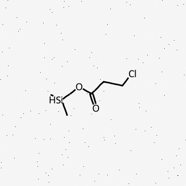 C[SiH](C)OC(=O)CCCl